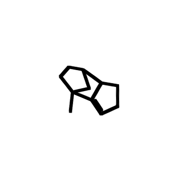 CC12CCC(C1)C1CCC=C12